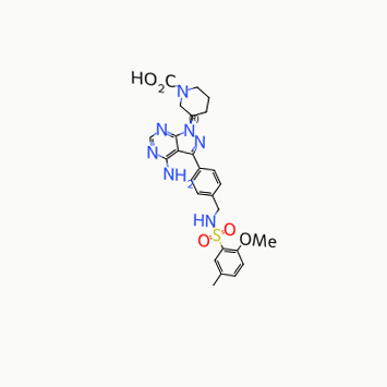 COc1ccc(C)cc1S(=O)(=O)NCc1ccc(-c2nn([C@@H]3CCCN(C(=O)O)C3)c3ncnc(N)c23)cc1